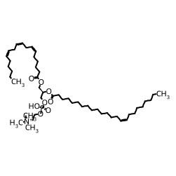 CCCCC/C=C\C/C=C\C/C=C\CCCCC(=O)OC[C@H](COP(=O)(O)OCC[N+](C)(C)C)OC(=O)CCCCCCCCCCCCC/C=C\CCCCCCCC